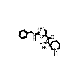 CCN(C(=O)C(CC(C)C)OC(=O)NCc1ccccc1)C1(C#N)CCCCNC1